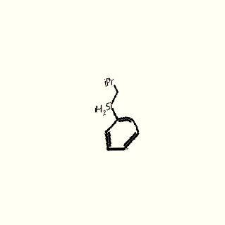 CC(C)C[SiH2]c1cc[c]cc1